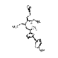 C#CC/C=C(SCC(C)(C)C)/C(=C/C)SC(=C)c1ccc(-c2ccc(C(C)(C)C)s2)s1